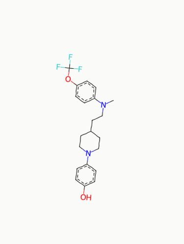 CN(CCC1CCN(c2ccc(O)cc2)CC1)c1ccc(OC(F)(F)F)cc1